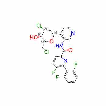 O=C(Nc1cnccc1[C@H]1C[C@H](Cl)[C@H](O)[C@@H](CCl)O1)c1ccc(F)c(-c2c(F)cccc2F)n1